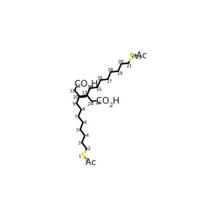 CC(=O)SCCCCCCCCC(CC(=O)O)=C(CCCCCCCCSC(C)=O)CC(=O)O